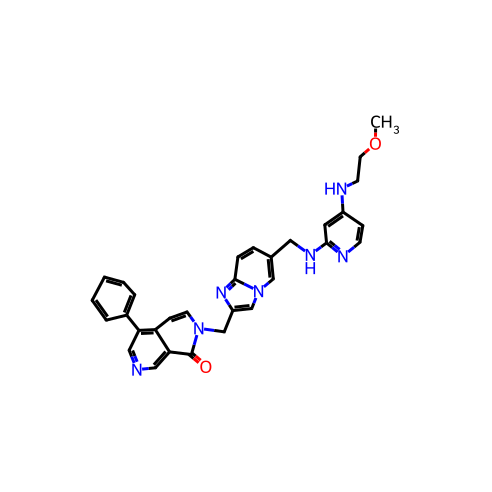 COCCNc1ccnc(NCc2ccc3nc(Cn4ccc5c(-c6ccccc6)cncc5c4=O)cn3c2)c1